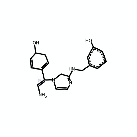 N/C=C(/C1=CCC(O)C=C1)N1C=CN=C(NCc2cccc(O)c2)C1